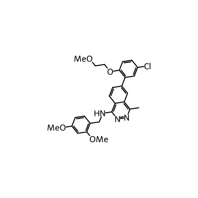 COCCOc1ccc(Cl)cc1-c1ccc2c(NCc3ccc(OC)cc3OC)nnc(C)c2c1